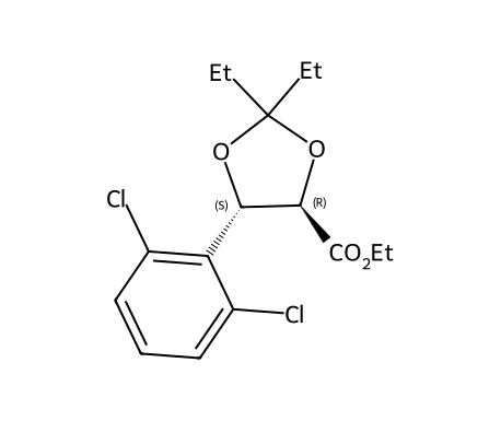 CCOC(=O)[C@@H]1OC(CC)(CC)O[C@H]1c1c(Cl)cccc1Cl